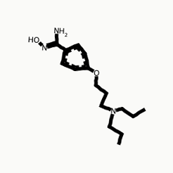 CCCN(CCC)CCCOc1ccc(C(N)=NO)cc1